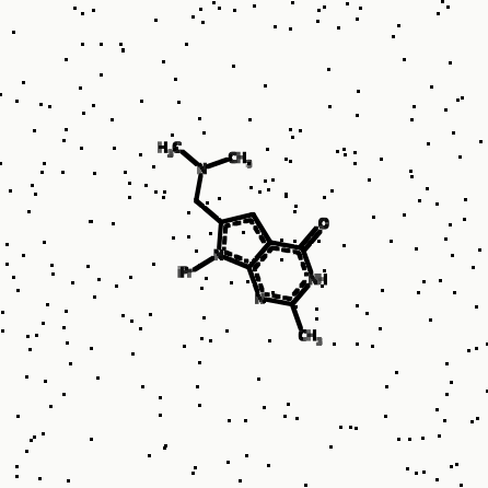 Cc1nc2c(cc(CN(C)C)n2C(C)C)c(=O)[nH]1